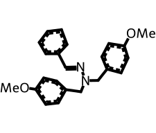 COc1ccc(CN(Cc2ccc(OC)cc2)/N=C/c2ccccc2)cc1